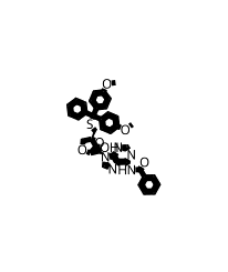 COc1ccc(C(SC[C@]23COC(C2O)[C@H](n2cnc4c(NC(=O)c5ccccc5)ncnc42)O3)(c2ccccc2)c2ccc(OC)cc2)cc1